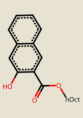 CCCCCCCCOC(=O)c1cc2ccccc2cc1O